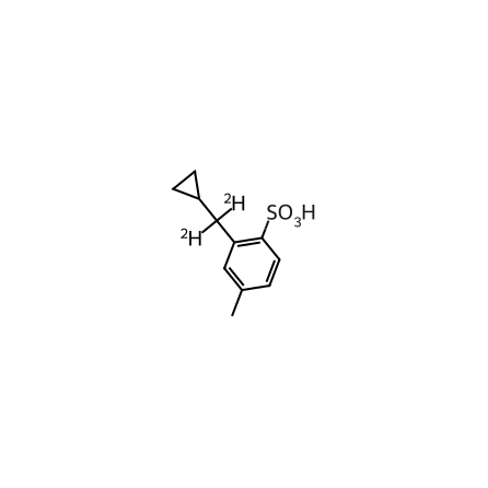 [2H]C([2H])(c1cc(C)ccc1S(=O)(=O)O)C1CC1